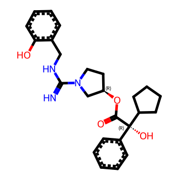 N=C(NCc1ccccc1O)N1CC[C@@H](OC(=O)[C@](O)(c2ccccc2)C2CCCC2)C1